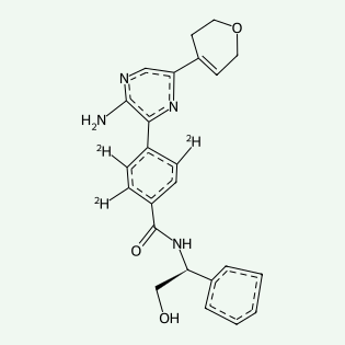 [2H]c1cc(C(=O)N[C@H](CO)c2ccccc2)c([2H])c([2H])c1-c1nc(C2=CCOCC2)cnc1N